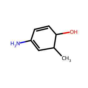 CC1C=C(N)C=CC1O